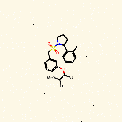 CCC(OC)C(CC)Oc1cccc(CS(=O)(=O)N2CCCC2c2ccccc2C)c1